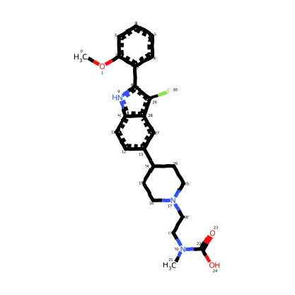 COc1ccccc1-c1[nH]c2ccc(C3CCN(CCN(C)C(=O)O)CC3)cc2c1F